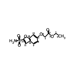 CCOC(=O)COc1ccc2cc(S(N)(=O)=O)oc2c1